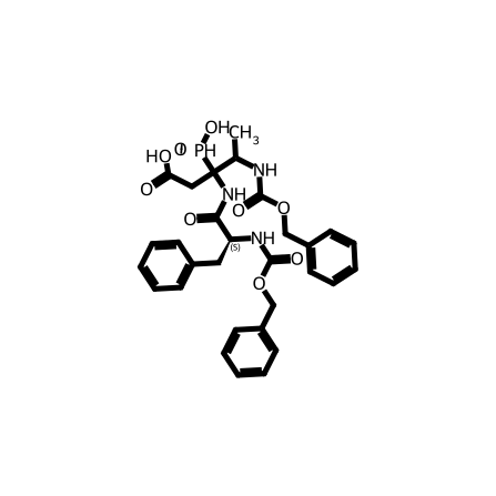 CC(NC(=O)OCc1ccccc1)C(CC(=O)O)(NC(=O)[C@H](Cc1ccccc1)NC(=O)OCc1ccccc1)[PH](=O)O